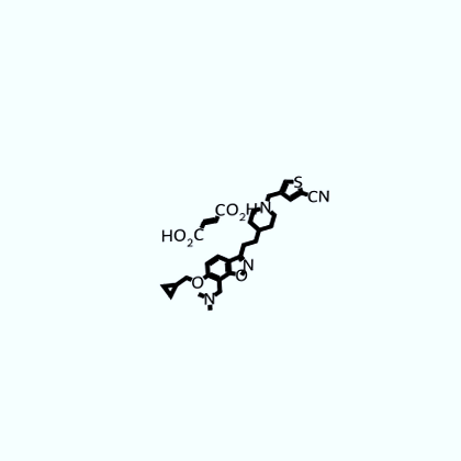 CN(C)Cc1c(OCC2CC2)ccc2c(CCC3CCN(Cc4csc(C#N)c4)CC3)noc12.O=C(O)C=CC(=O)O